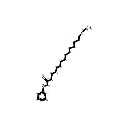 CCCCCCCCCCCCCCCCCC(=O)COc1ccccc1